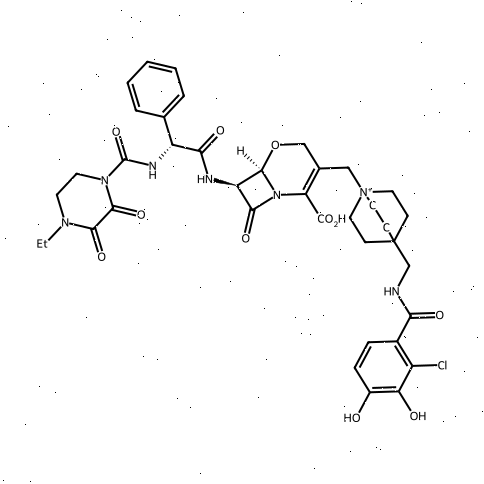 CCN1CCN(C(=O)N[C@@H](C(=O)N[C@@H]2C(=O)N3C(C(=O)O)=C(C[N+]45CCC(CNC(=O)c6ccc(O)c(O)c6Cl)(CC4)CC5)CO[C@H]23)c2ccccc2)C(=O)C1=O